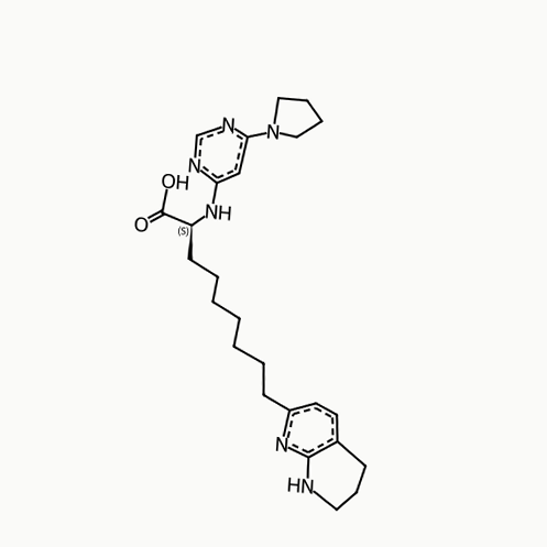 O=C(O)[C@H](CCCCCCCc1ccc2c(n1)NCCC2)Nc1cc(N2CCCC2)ncn1